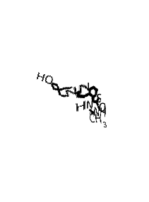 C[C@@H]1CNc2c(sc3ccc4nc(N5CCC6(CC5)CC(O)C6)ccc4c23)C(=O)N1